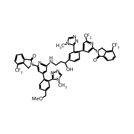 COCc1ccc(-c2cc(NCCC(O)c3ccc(-c4cc(N5Cc6c(cccc6C(F)(F)F)C5=O)nc(C(F)(F)F)c4)c(-c4nncn4C)c3)nc(N3Cc4c(cccc4C(F)(F)F)C3=O)c2)c(-c2nncn2C)c1